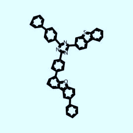 c1ccc(-c2ccc(-c3nc(-c4ccc(-c5cccc6c5oc5ccc(-c7ccccc7)cc56)cc4)nc(-c4ccc5c(c4)sc4ccccc45)n3)cc2)cc1